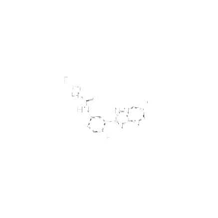 O=C(Nc1ccc(F)c(-c2nc3ncc(Cl)cn3n2)c1)N1CC(F)C1